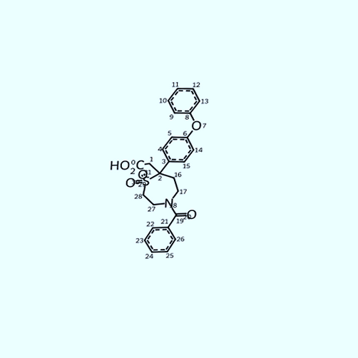 O=C(O)CC1(c2ccc(Oc3ccccc3)cc2)CCN(C(=O)c2ccccc2)CCS1(=O)=O